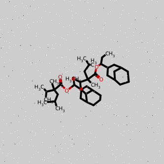 CCC(OC(=O)C(C)(CC(C)C)C(C)CC1C2CCCC1CC(C(C)OC(=O)C(C)(CC(C)C)C(C)C)C2)C1CC2CCCC(C2)C1